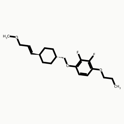 CCCOc1ccc(OC[C@H]2CC[C@H](C=CCOC)CC2)c(F)c1F